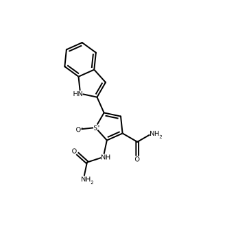 NC(=O)Nc1c(C(N)=O)cc(-c2cc3ccccc3[nH]2)[s+]1[O-]